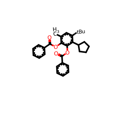 Cc1cc(C(C)(C)C)c(C2CCCC2)c(OC(=O)c2ccccc2)c1OC(=O)c1ccccc1